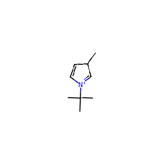 CC1C=C[N+](C(C)(C)C)=C1